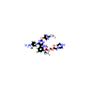 Cc1ncc(Oc2nc(N3C[C@H]4CC3C[C@H]4N)c3c(n2)[nH]c2c(N(C)C(=O)OCOC(=O)CN4CCNCC4)cc(F)cc23)cn1